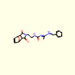 C/C(=N\C(=O)NCCN1C(=O)C2C3C=CC(O3)C2C1=O)NCc1ccccc1